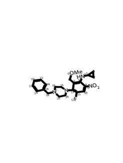 COCc1c(NC2CC2)c([N+](=O)[O-])cc(F)c1N1CCN(Cc2ccccc2)CC1